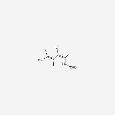 C/C(C#N)=C(C)\C(Cl)=C(\C)NC=O